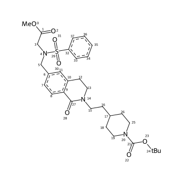 COC(=O)CN(Cc1ccc2c(c1)CCN(CCC1CCN(C(=O)OC(C)(C)C)CC1)C2=O)S(=O)(=O)c1ccccc1